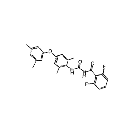 Cc1cc(C)cc(Oc2cc(C)c(NC(=O)NC(=O)c3c(F)cccc3F)c(C)c2)c1